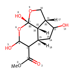 COC(=O)C1C(O)O[C@]2(O)OC[C@@H]3C(O)C[C@H]1[C@@H]32